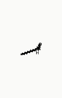 CCCCCCCCCCCCNC(C)(C)CC=O